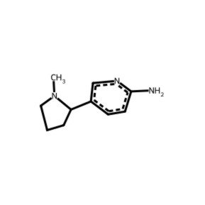 CN1CCCC1c1ccc(N)nc1